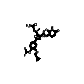 C[C@H](OC(N)=O)c1oc(-c2ccc(OC(F)F)c(OCC3CC3)c2)nc1C(=O)NC1CCC(=O)NC1=O